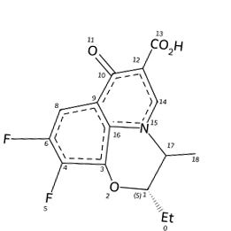 CC[C@@H]1Oc2c(F)c(F)cc3c(=O)c(C(=O)O)cn(c23)C1C